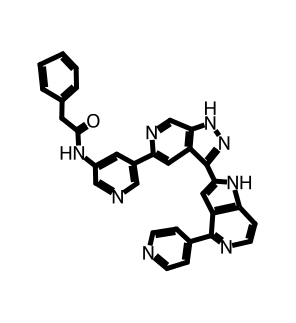 O=C(Cc1ccccc1)Nc1cncc(-c2cc3c(-c4cc5c(-c6ccncc6)nccc5[nH]4)n[nH]c3cn2)c1